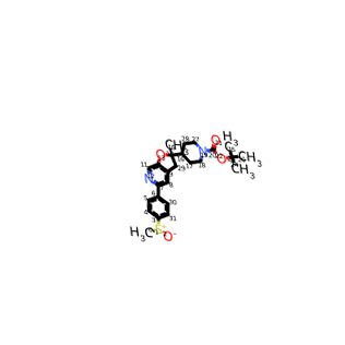 C[S+]([O-])c1ccc(-c2cc3c(cn2)O[C@](C)(C2CCN(C(=O)OC(C)(C)C)CC2)C3)cc1